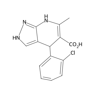 CC1=C(C(=O)O)C(c2ccccc2Cl)c2c[nH]nc2N1